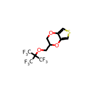 FC(F)(F)C(OCC1COc2cscc2O1)(C(F)(F)F)C(F)(F)F